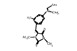 Cc1cc(N(C)CO)ccc1/C=C1\C(=O)N(C)C(=S)N1C